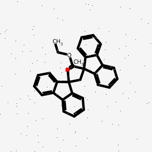 CCOC(=O)C1(CC2(CC)c3ccccc3-c3ccccc32)c2ccccc2-c2ccccc21